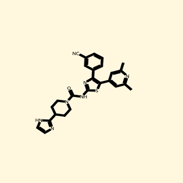 Cc1cc(-c2sc(NC(=O)N3CCC(c4ncc[nH]4)CC3)nc2-c2cccc(C#N)c2)cc(C)n1